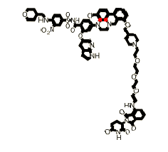 O=C1CCC(N2C(=O)c3cccc(NCCOCCOCCOCCN4CCC(COc5cccc(-c6ccc(Cl)cc6)c5CN5CCN(c6ccc(C(=O)NS(=O)(=O)c7ccc(NCC8CCOCC8)c([N+](=O)[O-])c7)c(Oc7cnc8[nH]ccc8c7)c6)CC5)CC4)c3C2=O)C(=O)N1